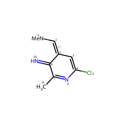 CN/C=C1/C=C(Cl)N=C(C)C1=N